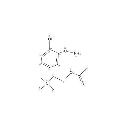 CC(=O)OCC[N+](C)(C)C.NOc1ccccc1O